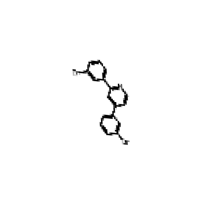 Brc1cccc(-c2ccnc(-c3cccc(Br)c3)c2)c1